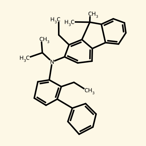 CCc1c(-c2ccccc2)cccc1N(c1ccc2c(c1CC)C(C)(C)c1ccccc1-2)C(C)C